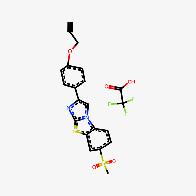 C#CCOc1ccc(-c2cn3c(n2)sc2cc(S(C)(=O)=O)ccc23)cc1.O=C(O)C(F)(F)F